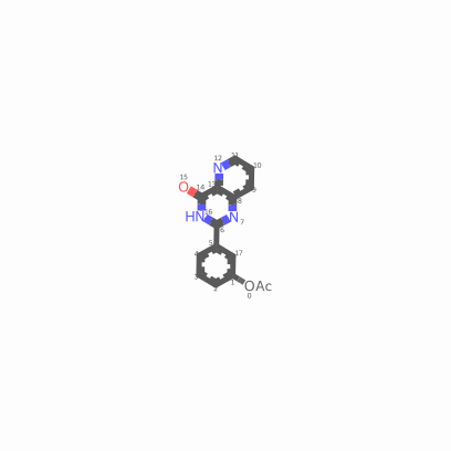 CC(=O)Oc1cccc(-c2nc3cccnc3c(=O)[nH]2)c1